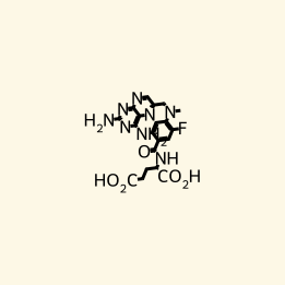 CN(Cc1cnc2nc(N)nc(N)c2n1)c1ccc(C(=O)N[C@@H](CCC(=O)O)C(=O)O)cc1F